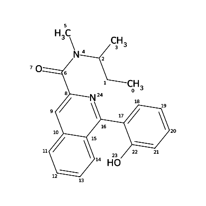 CCC(C)N(C)C(=O)c1cc2ccccc2c(-c2ccccc2O)n1